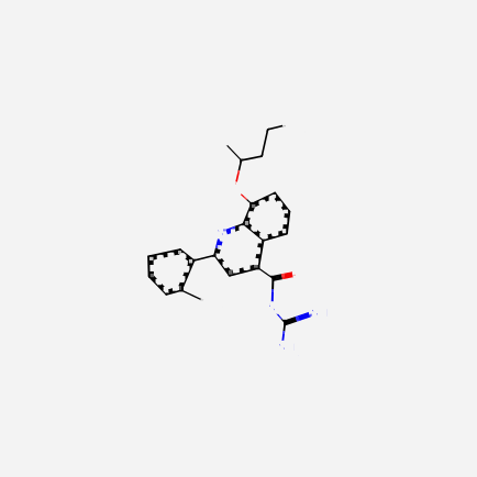 CCCC(C)Oc1cccc2c(C(=O)NC(=N)N)cc(-c3ccccc3C)nc12